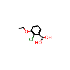 CCOc1cccc(B(O)O)c1Cl